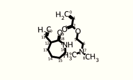 C=CC(=O)OCCN(C)C.C=CC1CCCCNC1=O